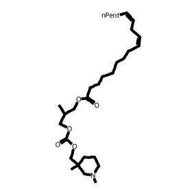 CCCCC/C=C\C/C=C\CCCCCCCC(=O)OCC(C)COC(=O)OCC1(C)CCCN(C)C1